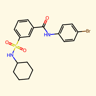 O=C(Nc1ccc(Br)cc1)c1cccc(S(=O)(=O)NC2CCCCC2)c1